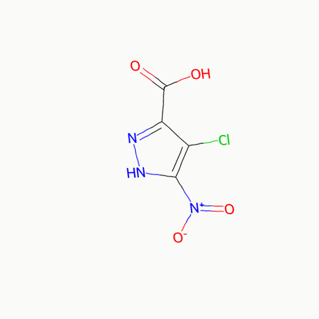 O=C(O)c1n[nH]c([N+](=O)[O-])c1Cl